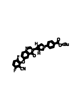 CC(C)(C)OC(=O)c1ccc(N2C[C@@H]3C(n4cnc5ccc(Oc6c(F)ccc(F)c6C#N)cc5c4=O)[C@@H]3C2)cc1